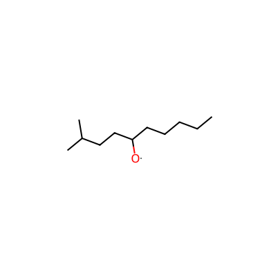 CCCCCC([O])CCC(C)C